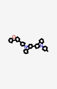 Cc1ccc(-n2c3ccccc3c3cc(-c4ccc5c(c4)c4ccccc4n5-c4ccc(-c5ccc6oc7ccccc7c6c5)cc4)ccc32)cc1